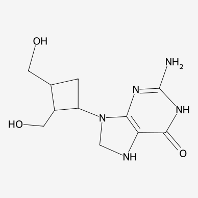 Nc1nc2c(c(=O)[nH]1)NCN2C1CC(CO)C1CO